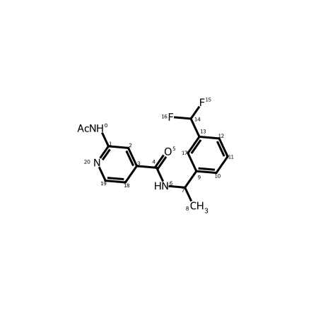 CC(=O)Nc1cc(C(=O)NC(C)c2cccc(C(F)F)c2)ccn1